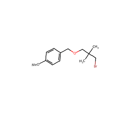 COc1ccc(COCC(C)(C)CBr)cc1